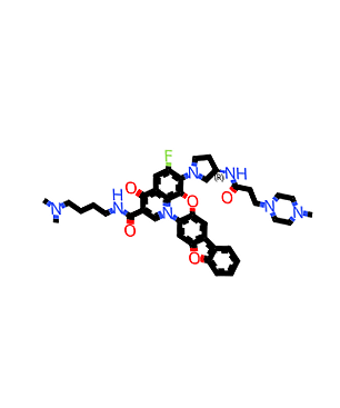 CN(C)CCCCNC(=O)c1cn2c3c(c(N4CC[C@@H](NC(=O)CCN5CCN(C)CC5)C4)c(F)cc3c1=O)Oc1cc3c(cc1-2)oc1ccccc13